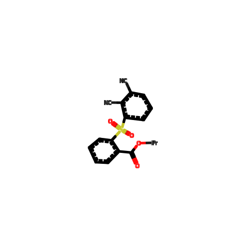 CC(C)OC(=O)c1ccccc1S(=O)(=O)c1cccc(C#N)c1C#N